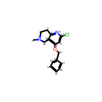 CN1CCc2nc(Cl)cc(OCc3ccccc3)c2C1